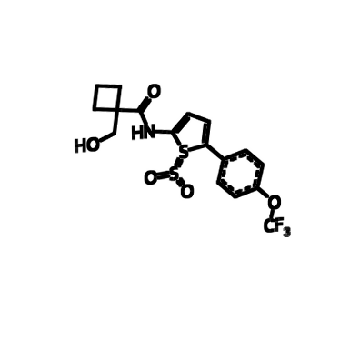 O=C(NC1=CC=C(c2ccc(OC(F)(F)F)cc2)S1=S(=O)=O)C1(CO)CCC1